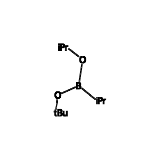 CC(C)OB(OC(C)(C)C)C(C)C